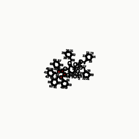 CC1(C)O[C@@H]2[C@H](OP(OCc3ccccc3)OCc3ccccc3)[C@@H](OCc3ccccc3)[C@H](OP(OCc3ccccc3)OCc3ccccc3)[C@@H](OP(OCc3ccccc3)OCc3ccccc3)[C@@H]2O1